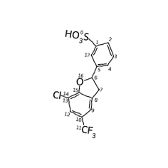 O=S(=O)(O)c1cccc(C2Cc3cc(C(F)(F)F)cc(Cl)c3O2)c1